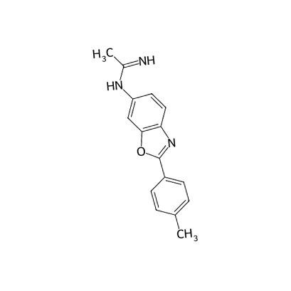 CC(=N)Nc1ccc2nc(-c3ccc(C)cc3)oc2c1